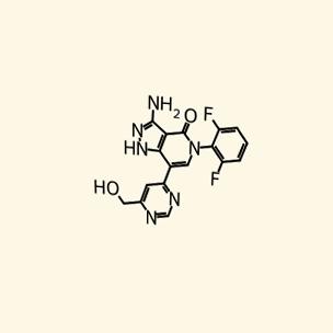 Nc1n[nH]c2c(-c3cc(CO)ncn3)cn(-c3c(F)cccc3F)c(=O)c12